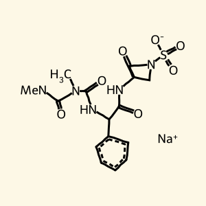 CNC(=O)N(C)C(=O)NC(C(=O)NC1CN(S(=O)(=O)[O-])C1=O)c1ccccc1.[Na+]